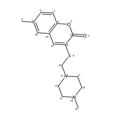 Cc1ccc2oc(=O)c(SCN3CCN(C)CC3)cc2c1